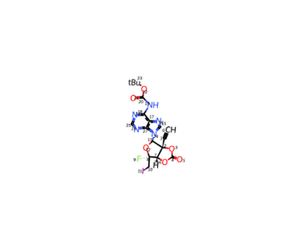 C#C[C@@]12OC(=O)O[C@@H]1[C@@](F)(CI)O[C@H]2n1cnc2c(NC(=O)OC(C)(C)C)ncnc21